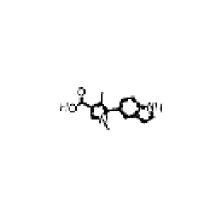 Cc1c(C(=O)O)cn(C)c1-c1ccc2[nH]ccc2c1